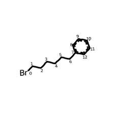 BrCCCCCCc1cc[c]cc1